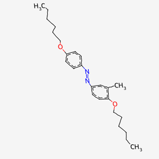 CCCCCCOc1ccc(/N=N/c2ccc(OCCCCCC)c(C)c2)cc1